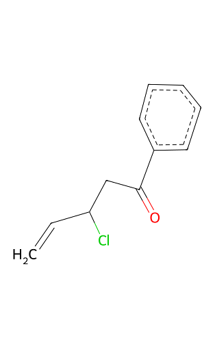 C=CC(Cl)CC(=O)c1ccccc1